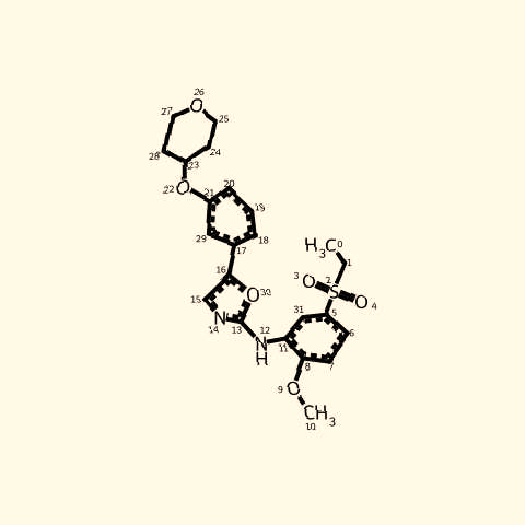 CCS(=O)(=O)c1ccc(OC)c(Nc2ncc(-c3cccc(OC4CCOCC4)c3)o2)c1